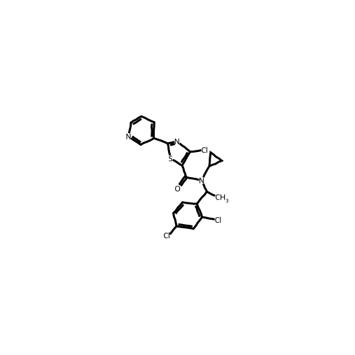 CC(c1ccc(Cl)cc1Cl)N(C(=O)c1sc(-c2cccnc2)nc1Cl)C1CC1